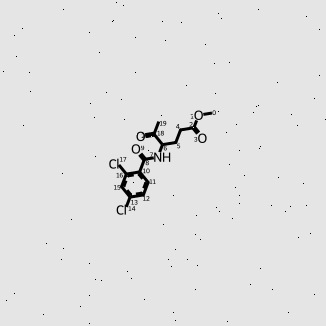 COC(=O)CCC(NC(=O)c1ccc(Cl)cc1Cl)C(C)=O